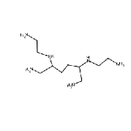 NCCNC(CN)CCC(CN)NCCN